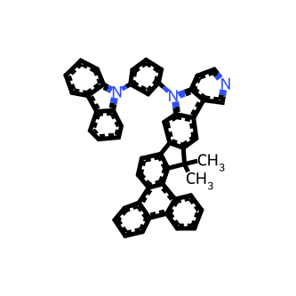 CC1(C)c2cc3c4cnccc4n(-c4cccc(-n5c6ccccc6c6ccccc65)c4)c3cc2-c2ccc3c4ccccc4c4ccccc4c3c21